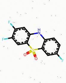 O=S1(=O)c2cc(F)ccc2Nc2cc(F)c(F)cc21